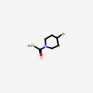 COC(=O)N1CCC(C(C)=O)CC1